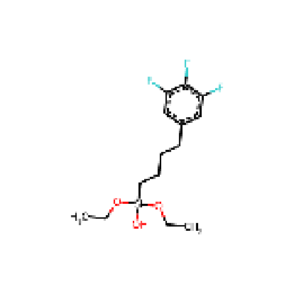 CCO[Si](O)(CCCCc1cc(F)c(F)c(F)c1)OCC